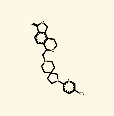 N#Cc1ccc(N2CCC3(CCN(CC4OCCc5c4ccc4c5COC4=O)CC3)C2)nc1